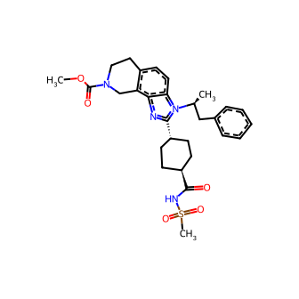 COC(=O)N1CCc2ccc3c(nc([C@H]4CC[C@H](C(=O)NS(C)(=O)=O)CC4)n3[C@@H](C)Cc3ccccc3)c2C1